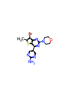 Cc1sc2c(-c3cnc(N)nc3)nc(N3CCOCC3)nc2c1Br